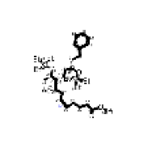 CC[Si](CC)(CC)O[C@@H](CCc1ccccc1)CC[C@@H]([C@@H](C)O[Si](CC)(CC)CC)[C@@H](C/C=C\CCCC(=O)OC(C)C)C(C)=O